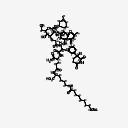 CCC1(c2ccncc2)CCC(=O)NC1=O.CCCCCCCCCCCCCCCCCC(=O)NCCCC[C@H](NC(=O)CC[C@@H](NC(=O)[C@H](C)NC(=O)[C@@H](C)O[C@H]1C(O)[C@@H](CO)O[C@@H](O)[C@@H]1NC(C)=O)C(N)=O)C(=O)O.Cc1cc(=O)c2c(O)cc(O)c([C@H]3CCN(C)C[C@H]3O)c2o1